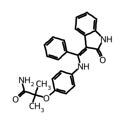 CC(C)(Oc1ccc(N/C(=C2\C(=O)Nc3ccccc32)c2ccccc2)cc1)C(N)=O